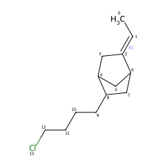 C/C=C1\CC2CC1CC2CCCCCl